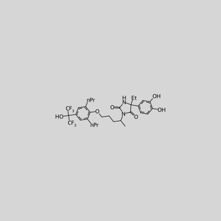 CCCc1cc(C(O)(C(F)(F)F)C(F)(F)F)cc(CCC)c1OCCCC(C)N1C(=O)NC(CC)(c2ccc(O)c(O)c2)C1=O